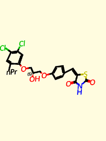 CCCc1cc(Cl)c(Cl)cc1OC[C@@H](O)COc1ccc(C=C2SC(=O)NC2=O)cc1